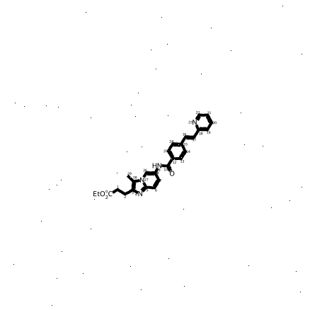 CCOC(=O)CCc1nc2ccc(NC(=O)c3ccc(C=Cc4ccccn4)cc3)cn2c1C